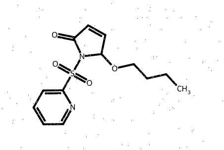 CCCCOC1C=CC(=O)N1S(=O)(=O)c1ccccn1